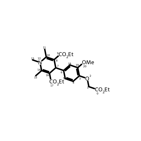 CCOC(=O)COc1ccc(C2C(C(=O)OCC)=C(C)N(C)C(C)=C2C(=O)OCC)cc1OC